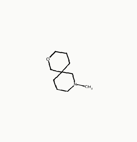 CN1CCCC2(CCCOC2)C1